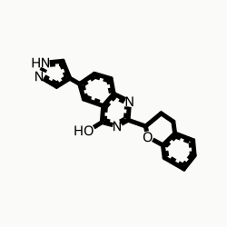 Oc1nc(C2CCc3ccccc3O2)nc2ccc(-c3cn[nH]c3)cc12